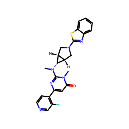 CN(c1nc(-c2ccncc2F)cc(=O)n1C)[C@@H]1[C@@H]2CN(c3nc4ccccc4s3)C[C@@H]21